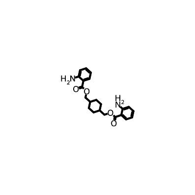 Nc1ccccc1C(=O)OCC1CCC(COC(=O)c2ccccc2N)CC1